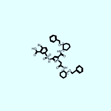 O=C(Cn1nc(NS(=O)(=O)c2ccc(Br)c(C(=O)O)c2)cc1C(=O)N[C@H]1CCCC[C@@H]1OCc1ccccc1)N[C@H]1CCCC[C@@H]1OCc1ccccc1